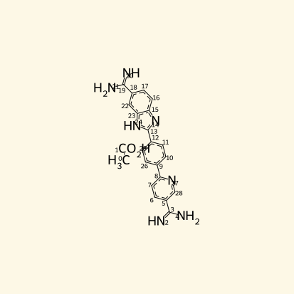 CC(=O)O.N=C(N)c1ccc(-c2ccc(-c3nc4ccc(C(=N)N)cc4[nH]3)cc2)nc1